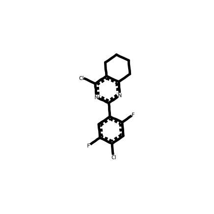 Fc1cc(-c2nc(Cl)c3c(n2)CCCC3)c(F)cc1Cl